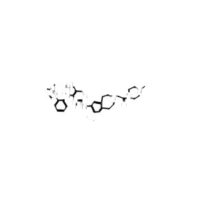 COc1cc2c(cc1Nc1ncc(Cl)c(Nc3ccccc3S(=O)(=O)N(C)C)n1)CCN(CC(=O)N1CCN(C)CC1)CC2